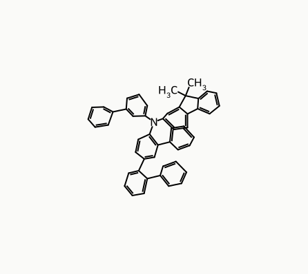 CC1(C)c2ccccc2-c2ccc(N(c3cccc(-c4ccccc4)c3)c3ccc(-c4ccccc4-c4ccccc4)cc3-c3ccccc3)cc21